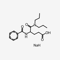 CCCN(CCC)C(=O)C(CCC(=O)O)NC(=O)c1ccccc1.[NaH]